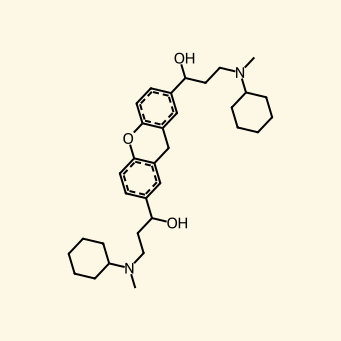 CN(CCC(O)c1ccc2c(c1)Cc1cc(C(O)CCN(C)C3CCCCC3)ccc1O2)C1CCCCC1